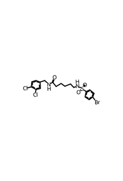 O=C(CCCCCNS(=O)(=O)c1ccc(Br)cc1)NCc1ccc(Cl)c(Cl)c1